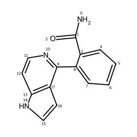 NC(=O)c1ccccc1-c1nccc2[nH]ccc12